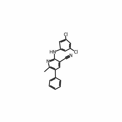 Cc1nc(Nc2cc(Cl)cc(Cl)c2)c(C#N)cc1-c1ccccc1